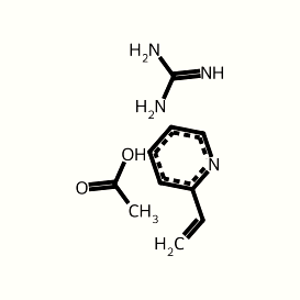 C=Cc1ccccn1.CC(=O)O.N=C(N)N